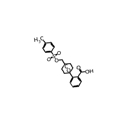 Cc1ccc(S(=O)(=O)OCC23CCC(c4ccccc4C(=O)O)(CC2)OC3)cc1